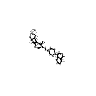 CN1Cc2sc3ncn(CCN4CCN(c5cncc6ccccc56)CC4)c(=O)c3c2C1